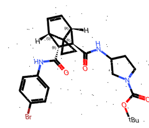 CC(C)(C)OC(=O)N1CCC(NC(=O)[C@H]2[C@H](C(=O)Nc3ccc(Br)cc3)[C@@H]3C=C[C@H]2C32CC2)C1